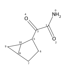 NC(=O)C(=O)C1CCC2CC21